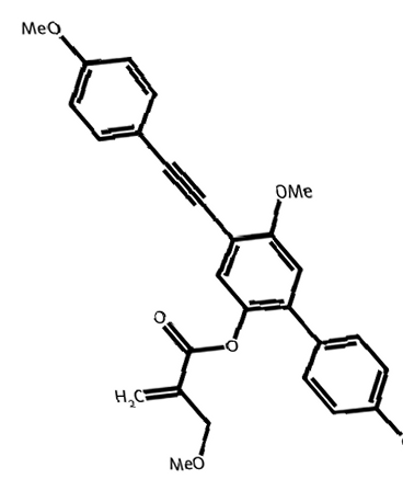 C=C(COC)C(=O)Oc1cc(C#Cc2ccc(OC)cc2)c(OC)cc1-c1ccc(OC)cc1